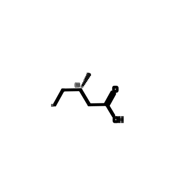 [CH2]C[C@H](C)CC(=O)O